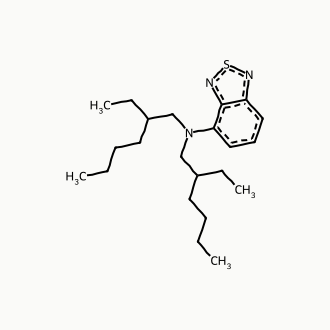 CCCCC(CC)CN(CC(CC)CCCC)c1cccc2nsnc12